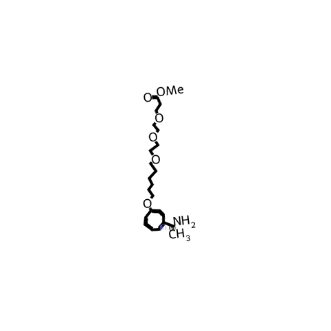 COC(=O)CCOCCOCCOCCCCCCOC1=C=C/C([C@@H](C)N)=C\C=C=C1